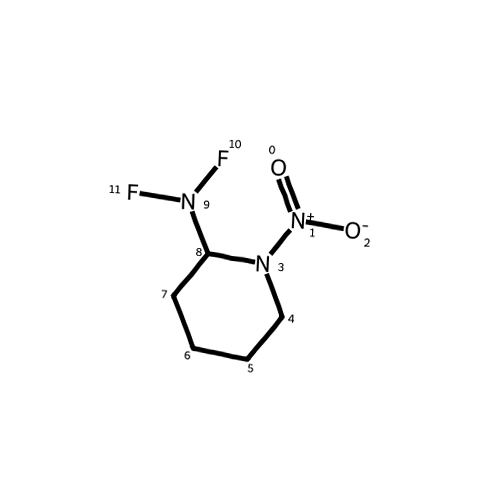 O=[N+]([O-])N1CCCCC1N(F)F